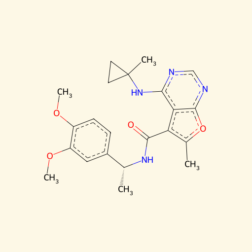 COc1ccc([C@@H](C)NC(=O)c2c(C)oc3ncnc(NC4(C)CC4)c23)cc1OC